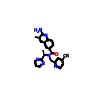 Cc1cc2cc(C(=O)N(Cc3cc(C#N)ccn3)[C@H](C)c3ncccn3)ccc2nc1N